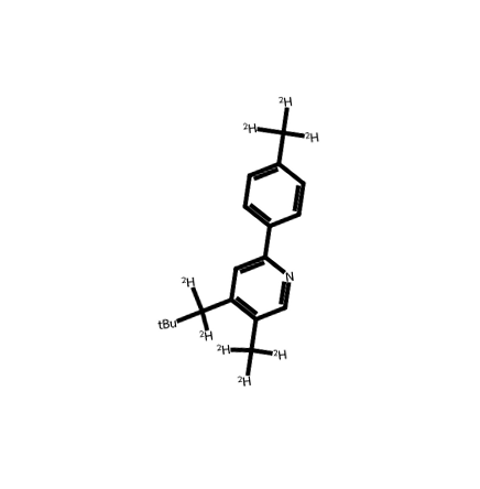 [2H]C([2H])([2H])c1ccc(-c2cc(C([2H])([2H])C(C)(C)C)c(C([2H])([2H])[2H])cn2)cc1